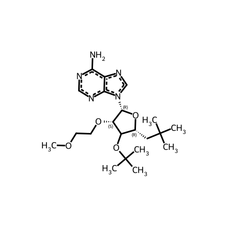 COCCO[C@H]1C(OC(C)(C)C)[C@@H](CC(C)(C)C)O[C@H]1n1cnc2c(N)ncnc21